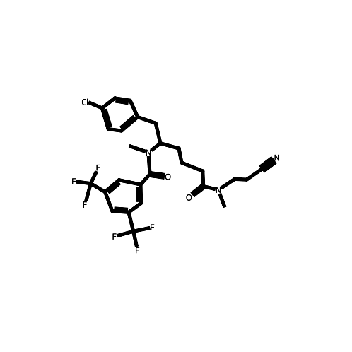 CN(CCC#N)C(=O)CCCC(Cc1ccc(Cl)cc1)N(C)C(=O)c1cc(C(F)(F)F)cc(C(F)(F)F)c1